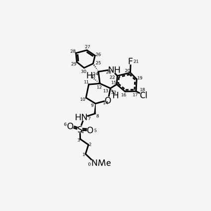 CNCCCS(=O)(=O)NC[C@H]1CC[C@@H]2[C@H](O1)c1cc(Cl)cc(F)c1N[C@H]2C1C=CC=CC1